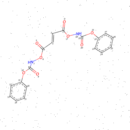 O=C(/C=C/C(=O)ONC(=O)Oc1ccccc1)ONC(=O)Oc1ccccc1